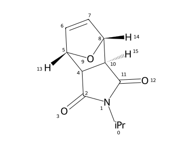 CC(C)N1C(=O)C2[C@@H]3C=C[C@@H](O3)[C@H]2C1=O